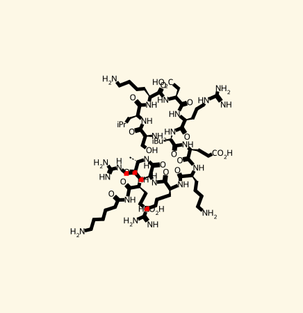 CC[C@H](C)[C@H](NC(=O)[C@H](CCCNC(=N)N)NC(=O)[C@H](CC(=O)O)NC(=O)[C@H](CCCCN)NC(=O)[C@H](CC(C)C)NC(=O)[C@@H](N)CO)C(=O)N[C@@H](CCC(=O)O)C(=O)N[C@@H](CCCCN)C(=O)N[C@@H](CCCNC(=N)N)C(=O)N[C@@H](CCCNC(=N)N)C(=O)N[C@@H](C)C(=O)N[C@@H](CCC(=O)O)C(=O)NC(=O)CCCCCN